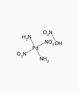 O=[N+]([O-])O.[NH2][Pd]([NH2])([N+](=O)[O-])[N+](=O)[O-]